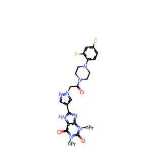 CCCn1c(=O)c2[nH]c(-c3cnn(CC(=O)N4CCN(c5ccc(F)cc5F)CC4)c3)nc2n(CCC)c1=O